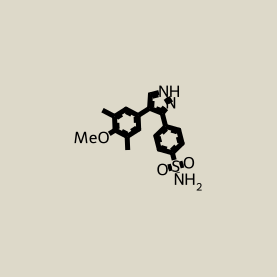 COc1c(C)cc(-c2c[nH]nc2-c2ccc(S(N)(=O)=O)cc2)cc1C